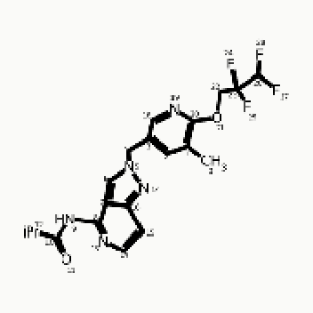 Cc1cc(Cn2cc3c(NC(=O)C(C)C)nccc3n2)cnc1OCC(F)(F)C(F)F